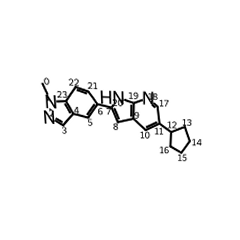 Cn1ncc2cc(-c3cc4cc(C5CCCC5)cnc4[nH]3)ccc21